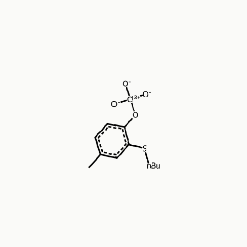 CCCCSc1cc(C)ccc1O[Cl+3]([O-])([O-])[O-]